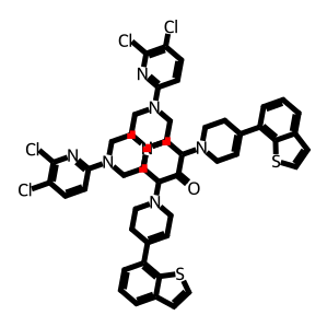 O=C(C(CN1CCN(c2ccc(Cl)c(Cl)n2)CC1)N1CC=C(c2cccc3ccsc23)CC1)C(CN1CCN(c2ccc(Cl)c(Cl)n2)CC1)N1CC=C(c2cccc3ccsc23)CC1